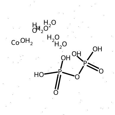 O.O.O.O.O.O.O=P(O)(O)OP(=O)(O)O.[Co]